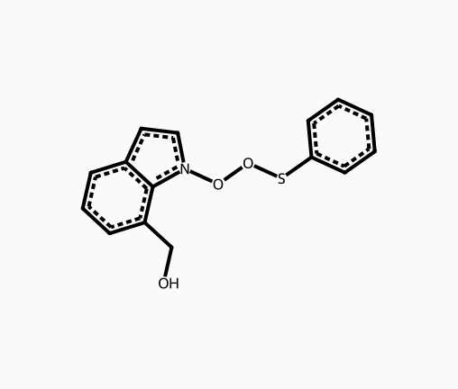 OCc1cccc2ccn(OOSc3ccccc3)c12